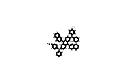 CC(C)(C)c1ccc(N(c2ccccc2)c2ccc3c(C4=CC5=C(C=CCC5)CC4)c4c(c(-c5ccc6ccccc6c5)c3c2)=CCC(N(C2=CCCC=C2)c2ccc(C(C)(C)C)cc2)C=4)cc1